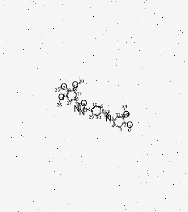 COc1ccc(N=Nc2ccc(-c3nnc(-c4cc(OC)c(OC)c(OC)c4)o3)cc2)cc1OC